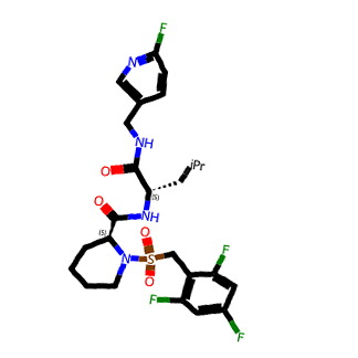 CC(C)C[C@H](NC(=O)[C@@H]1CCCCN1S(=O)(=O)Cc1c(F)cc(F)cc1F)C(=O)NCc1ccc(F)nc1